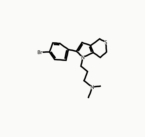 CN(C)CCCn1c(-c2ccc(Br)cc2)cc2c1CCSC2